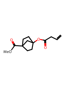 C=CCC(=O)OC12CCC(C(=O)OC)(CC1)C2